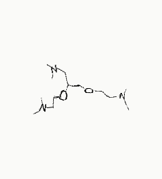 CN(C)CCOC[C@H](CN(C)C)OCCN(C)C